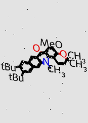 COc1cc2c(c3c1c(=O)c1cc4cc(C(C)(C)C)c(C(C)(C)C)cc4cc1n3C)C=CC(C)(C)O2